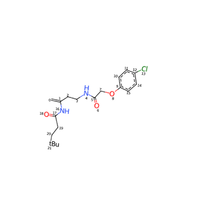 C=C(CCNC(=O)COc1ccc(Cl)cc1)NC(=O)CCC(C)(C)C